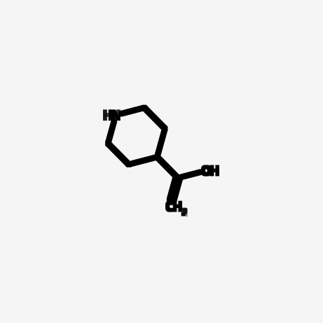 C=C(O)C1CCNCC1